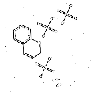 C1=Cc2ccccc2OC1.O=S(=O)([O-])[O-].O=S(=O)([O-])[O-].O=S(=O)([O-])[O-].[Cr+3].[Cr+3]